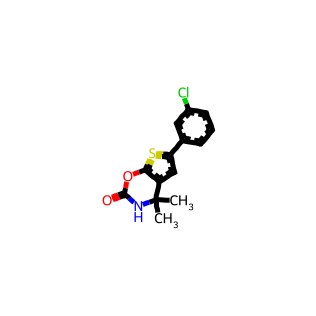 CC1(C)NC(=O)Oc2sc(-c3cccc(Cl)c3)cc21